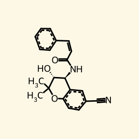 CC1(C)Oc2ccc(C#N)cc2[C@H](NC(=O)/C=C\c2ccccc2)[C@H]1O